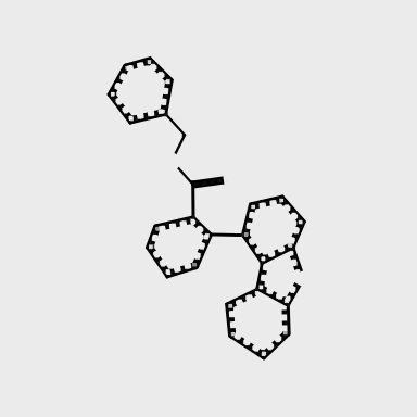 O=C(OCc1ccccc1)c1ccccc1-c1cccc2oc3ccccc3c12